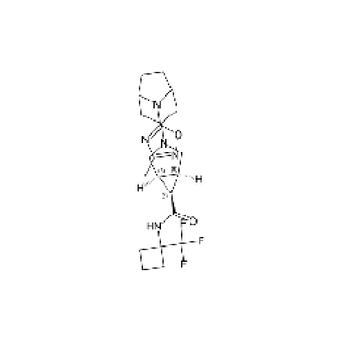 Cc1noc(N2C3CCC2CC(N2C[C@@H]4[C@H](C2)[C@@H]4C(=O)NC2(C(F)(F)F)CCC2)C3)n1